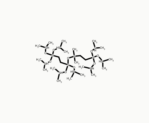 C[SiH](C)O[Si](CC[Si](C)(C)O[Si](CC[Si](O[SiH](C)C)(O[SiH](C)C)O[SiH](C)C)(O[SiH](C)C)O[SiH](C)C)(O[SiH](C)C)O[SiH](C)C